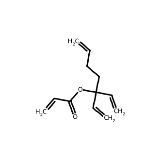 C=CCCC(C=C)(C=C)OC(=O)C=C